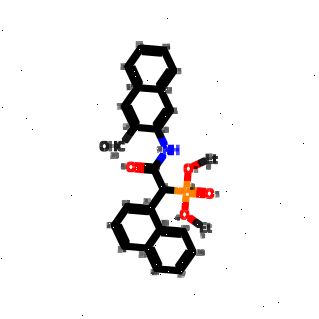 CCOP(=O)(OCC)C(C(=O)Nc1cc2ccccc2cc1C=O)c1cccc2ccccc12